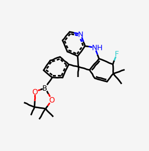 CC1(c2cccc(B3OC(C)(C)C(C)(C)O3)c2)C2=C(Nc3ncccc31)C(F)C(C)(C)C=C2